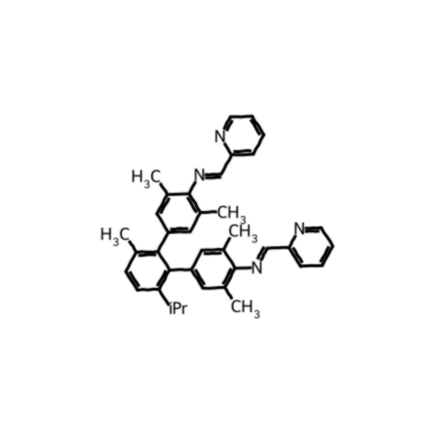 Cc1cc(-c2c(C)ccc(C(C)C)c2-c2cc(C)c(N=Cc3ccccn3)c(C)c2)cc(C)c1N=Cc1ccccn1